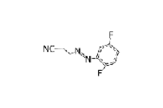 N#CCCN=Nc1cc(F)ccc1F